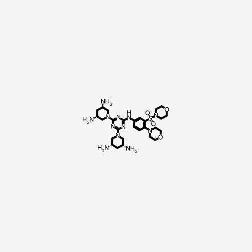 N[C@@H]1C[C@H](N)CN(c2nc(Nc3ccc(N4CCOCC4)c(S(=O)(=O)N4CCOCC4)c3)nc(N3C[C@H](N)C[C@H](N)C3)n2)C1